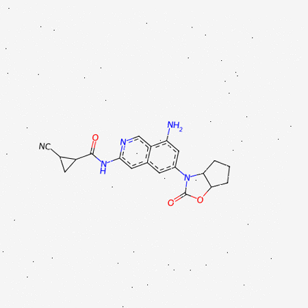 N#CC1CC1C(=O)Nc1cc2cc(N3C(=O)OC4CCCC43)cc(N)c2cn1